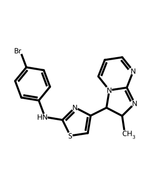 CC1N=C2N=CC=CN2C1c1csc(Nc2ccc(Br)cc2)n1